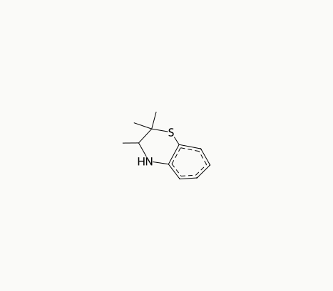 CC1Nc2ccccc2SC1(C)C